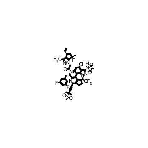 C=C[C@H]1CC(F)(F)c2c1c(C(F)(F)F)nn2CC(=O)N[C@@H](Cc1cc(F)cc(F)c1)c1nc(C#CC(C)(C)S(C)(=O)=O)c2c(c1-c1ccc(Cl)c3c(NS(C)(=O)=O)nn(CC(F)(F)F)c13)CCC2